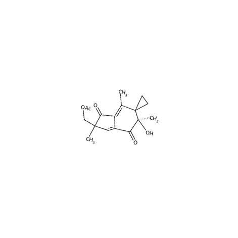 CC(=O)OCC1(C)C=C2C(=O)[C@](C)(O)C3(CC3)C(C)=C2C1=O